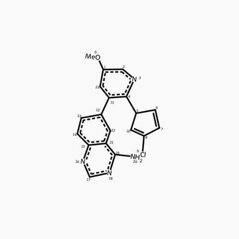 COc1cnc(C2C=CC(Cl)=C2)c(-c2ccc3ncnc(N)c3c2)c1